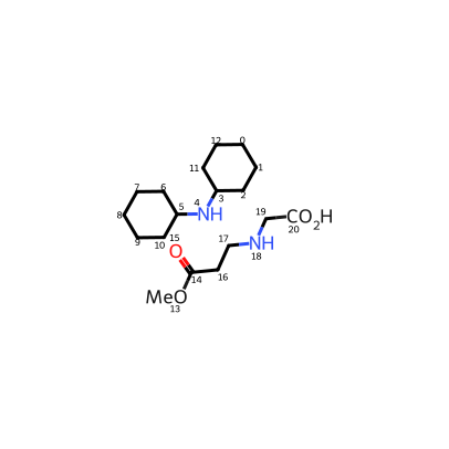 C1CCC(NC2CCCCC2)CC1.COC(=O)CCNCC(=O)O